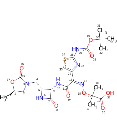 C[C@@H]1CN(C[C@H]2NC(=O)[C@H]2NC(=O)/C(=N\OC(C)(C)C(=O)O)c2csc(NC(=O)OC(C)(C)C)n2)C(=O)O1